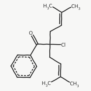 CC(C)=CCC(Cl)(CC=C(C)C)C(=O)c1ccccc1